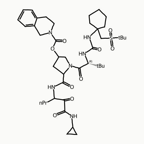 CCCC(NC(=O)C1CC(OC(=O)N2CCc3ccccc3C2)CN1C(=O)[C@H](NC(=O)NC1(CS(=O)(=O)C(C)(C)C)CCCCC1)C(C)(C)C)C(=O)C(=O)NC1CC1